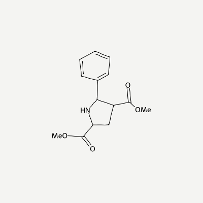 COC(=O)C1CC(C(=O)OC)C(c2ccccc2)N1